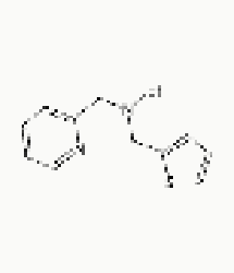 CCN(Cc1ccccn1)Cc1cccs1